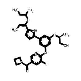 C/C=C(/OC(C)CC)c1ccc(-c2cc(Oc3ncc(C(=O)N4CCC4)cc3Cl)cc(O[C@@H](C)CO)c2)[nH]1